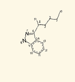 CCCCC(C)C1=N[N]c2ccccc21